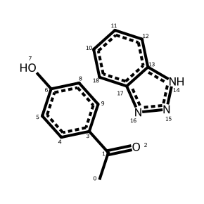 CC(=O)c1ccc(O)cc1.c1ccc2[nH]nnc2c1